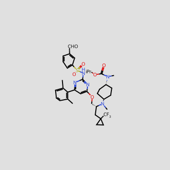 Cc1cccc(C)c1-c1cc(OC[C@@H](CC2(C(F)(F)F)CC2)N(C)[C@H]2CC[C@@H](N(C)C(=O)OC(C)C)CC2)nc(NS(=O)(=O)c2cccc(C=O)c2)n1